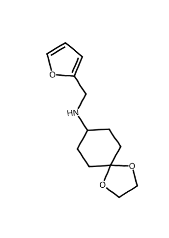 c1coc(CNC2CCC3(CC2)OCCO3)c1